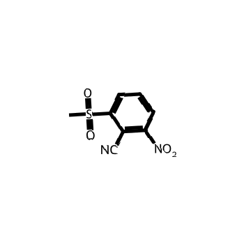 CS(=O)(=O)c1cccc([N+](=O)[O-])c1C#N